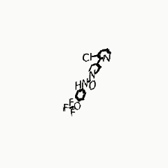 O=C(Nc1ccc(OC(F)(F)F)cc1)N1CC=C(c2ncccc2Cl)CC1